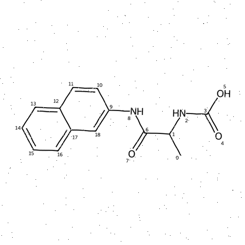 CC(NC(=O)O)C(=O)Nc1ccc2ccccc2c1